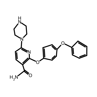 NC(=O)c1ccc(N2CCNCC2)nc1Oc1ccc(Oc2ccccc2)cc1